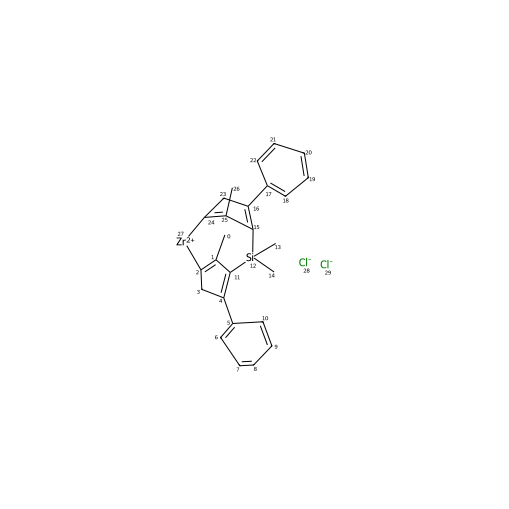 CC1=[C]2CC(c3ccccc3)=C1[Si](C)(C)C1=C(c3ccccc3)C[C](=C1C)[Zr+2]2.[Cl-].[Cl-]